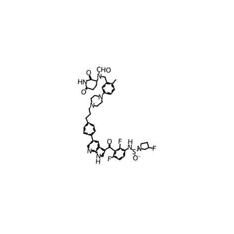 Cc1ccc(N2CCN(CCCc3ccc(-c4cnc5[nH]cc(C(=O)c6c(F)ccc(N[S+]([O-])N7CCC(F)C7)c6F)c5c4)cc3)CC2)cc1CN(C=O)C1CCC(=O)NC1=O